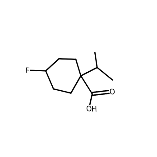 CC(C)C1(C(=O)O)CCC(F)CC1